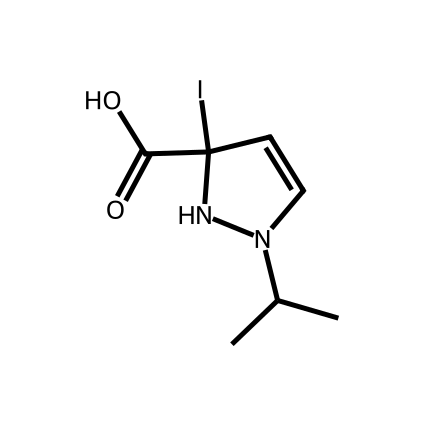 CC(C)N1C=CC(I)(C(=O)O)N1